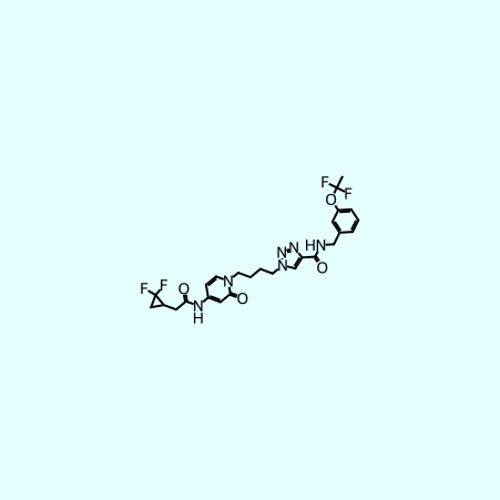 CC(F)(F)Oc1cccc(CNC(=O)c2cn(CCCCn3ccc(NC(=O)CC4CC4(F)F)cc3=O)nn2)c1